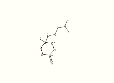 CN(C)CCOC1(C)OCC(=O)CO1